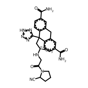 C[C@H](CC1(c2nn[nH]n2)c2ccc(C(N)=O)cc2Cc2cc(C(N)=O)ccc21)NCC(=O)N1CCCC1C#N